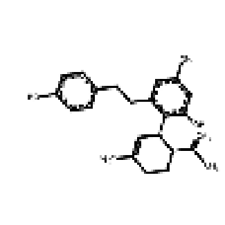 C=C(C)[C@H]1CCC(C)=C[C@H]1c1c(O)cc(O)cc1CCc1ccc(O)cc1